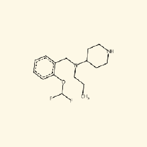 CCCN(Cc1ccccc1OC(F)F)C1CCNCC1